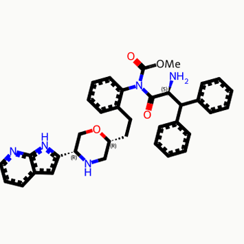 COC(=O)N(C(=O)[C@@H](N)C(c1ccccc1)c1ccccc1)c1ccccc1CC[C@@H]1CN[C@H](c2cc3cccnc3[nH]2)CO1